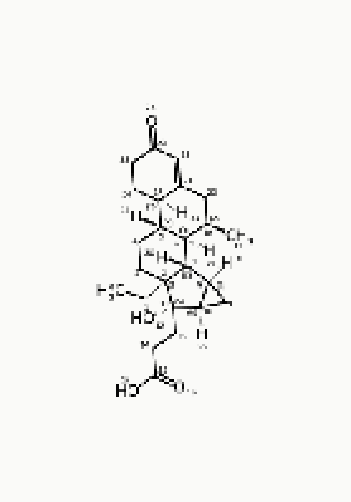 CC[C@]12CC[C@H]3[C@H]([C@@H]1[C@H]1C[C@H]1[C@@]2(O)CCC(=O)O)[C@H](C)CC1=CC(=O)CC[C@@H]13